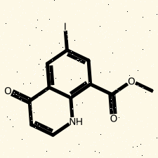 COC(=O)c1cc(I)cc2c(=O)cc[nH]c12